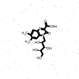 COC(=O)c1nc2cc(C)c(C)cc2n(C[C@H](O)[C@H](O)[C@H](O)CO)c1=O